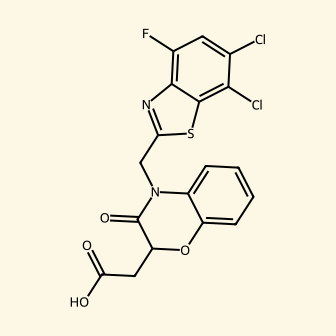 O=C(O)CC1Oc2ccccc2N(Cc2nc3c(F)cc(Cl)c(Cl)c3s2)C1=O